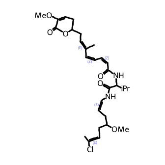 COC1=CCC(C/C=C(C)/C=C\C=C/C(=O)NC(C(=O)N/C=C\CC(C/C=C(\C)Cl)OC)C(C)C)OC1=O